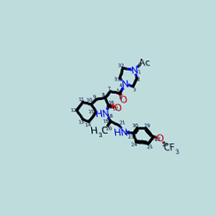 CC(=O)N1CCN(C(=O)CC(CC2CCCCC2)C(=O)NC(C)CNc2ccc(OC(F)(F)F)cc2)CC1